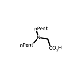 CCCCCN(CCCCC)CC(=O)O